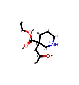 CCOC(=O)C1(CC(C)=O)CCCNC1